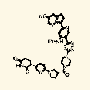 CC(C)Nc1cc(-c2ccc3cc(C#N)cnn23)ncc1-c1nnc(N2CCN(C(=O)[C@@H]3CCN(c4ccc([C@H]5CCC(=O)NC5=O)cn4)C3)CC2)s1